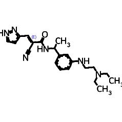 CCN(CC)CCNc1cccc(C(C)NC(=O)/C(C#N)=C/c2cc[nH]n2)c1